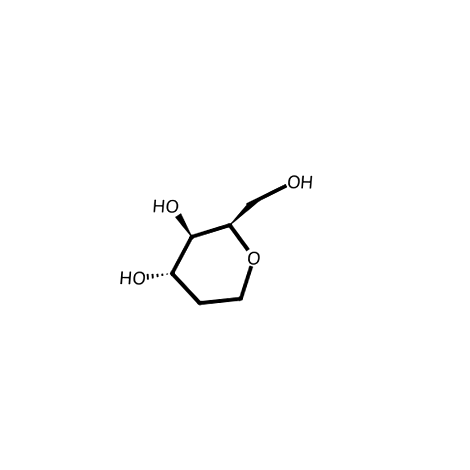 OC[C@H]1OCC[C@H](O)[C@H]1O